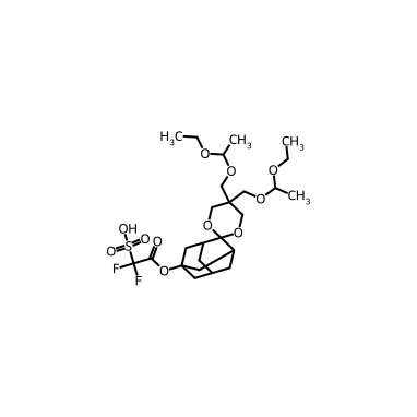 CCOC(C)OCC1(COC(C)OCC)COC2(OC1)C1CC3CC2CC(OC(=O)C(F)(F)S(=O)(=O)O)(C3)C1